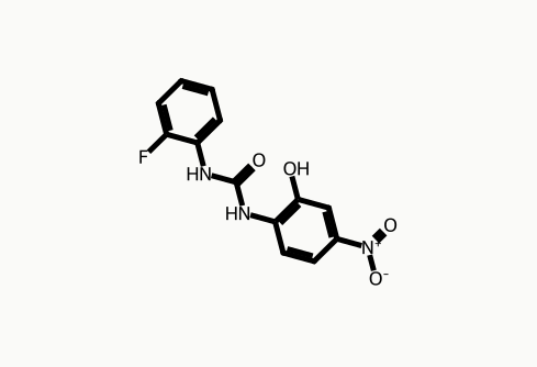 O=C(Nc1ccc([N+](=O)[O-])cc1O)Nc1ccccc1F